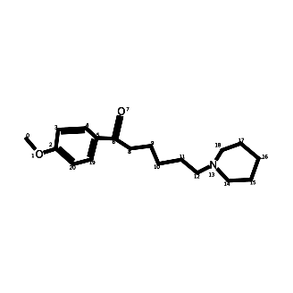 COc1ccc(C(=O)CCCCCN2CC[CH]CC2)cc1